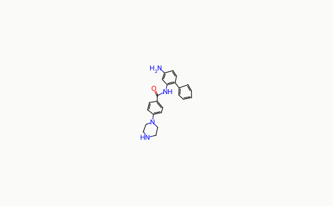 Nc1ccc(-c2ccccc2)c(NC(=O)c2ccc(N3CCNCC3)cc2)c1